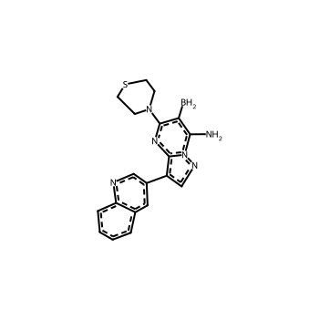 Bc1c(N2CCSCC2)nc2c(-c3cnc4ccccc4c3)cnn2c1N